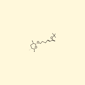 C=C(/C=C/CCCO[C@@H]1O[C@@H](C)[C@H](C)C[C@H]1C)OC(C)(C)C